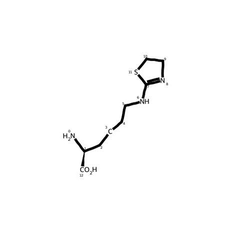 N[C@@H](CCCCNC1=NCCS1)C(=O)O